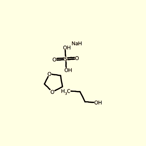 C1COCO1.CCCO.O=S(=O)(O)O.[NaH]